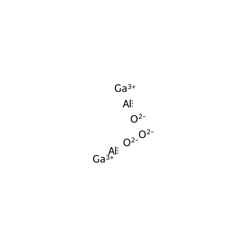 [Al].[Al].[Ga+3].[Ga+3].[O-2].[O-2].[O-2]